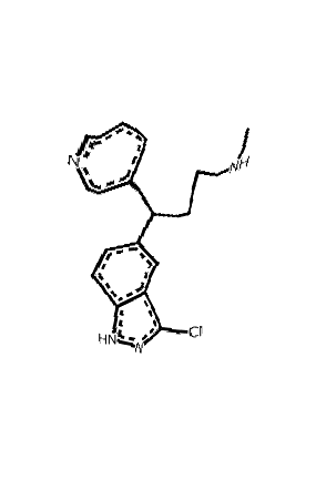 CNCCC(c1cccnc1)c1ccc2[nH]nc(Cl)c2c1